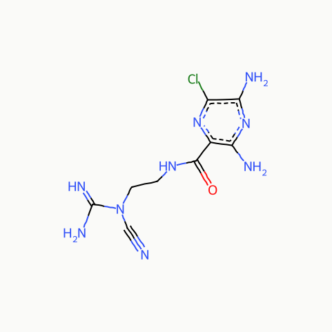 N#CN(CCNC(=O)c1nc(Cl)c(N)nc1N)C(=N)N